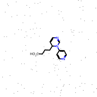 O=C(O)CCCC1C=CN=CN1c1ccncc1